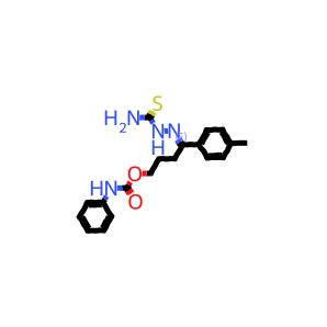 Cc1ccc(/C(CCCOC(=O)Nc2ccccc2)=N/NC(N)=S)cc1